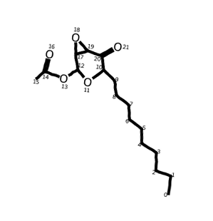 CCCCCCCCCCC1OC(OC(C)=O)C2OC2C1=O